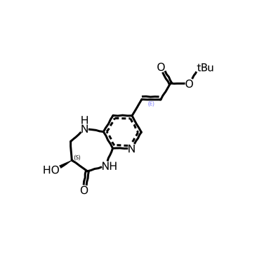 CC(C)(C)OC(=O)/C=C/c1cnc2c(c1)NC[C@H](O)C(=O)N2